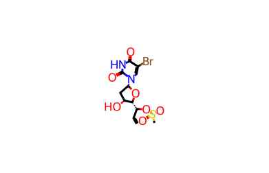 C=CC(OS(C)(=O)=O)[C@H]1O[C@@H](n2cc(Br)c(=O)[nH]c2=O)C[C@@H]1O